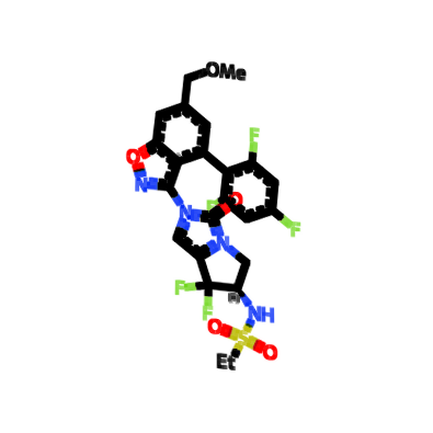 CCS(=O)(=O)N[C@@H]1Cn2c(cn(-c3noc4cc(COC)cc(-c5c(F)cc(F)cc5F)c34)c2=O)C1(F)F